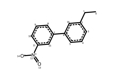 CCc1cccc(-c2cccc([N+](=O)[O-])c2)c1